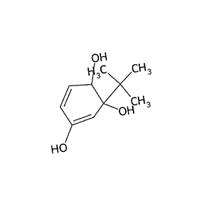 CC(C)(C)C1(O)C=C(O)C=CC1O